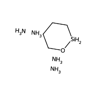 C1CC[SiH2]OC1.N.N.N.N